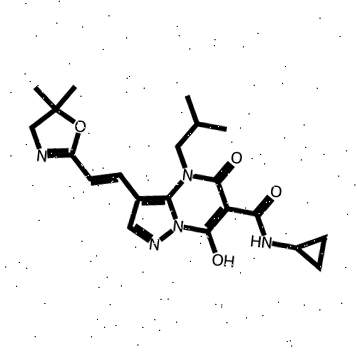 CC(C)Cn1c(=O)c(C(=O)NC2CC2)c(O)n2ncc(C=CC3=NCC(C)(C)O3)c12